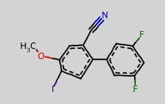 COc1cc(C#N)c(-c2cc(F)cc(F)c2)cc1I